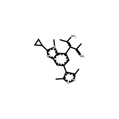 CC(=N)/C(=C(/C)N)c1cc(-c2c(C)noc2C)cc2nc(C3CC3)n(C)c12